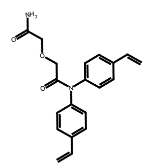 C=Cc1ccc(N(C(=O)COCC(N)=O)c2ccc(C=C)cc2)cc1